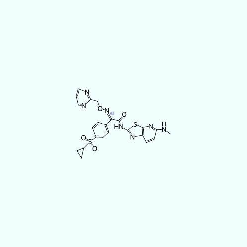 CNc1ccc2nc(NC(=O)/C(=N/OCc3ncccn3)c3ccc(S(=O)(=O)C4CC4)cc3)sc2n1